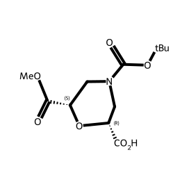 COC(=O)[C@@H]1CN(C(=O)OC(C)(C)C)C[C@H](C(=O)O)O1